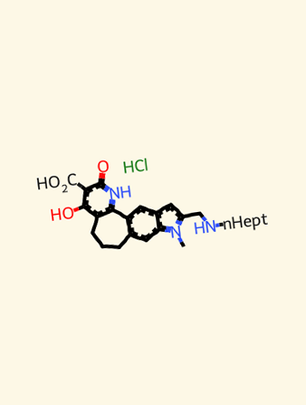 CCCCCCCNCc1cc2cc3c(cc2n1C)CCCc1c-3[nH]c(=O)c(C(=O)O)c1O.Cl